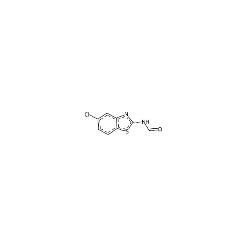 O=CNc1nc2cc(Cl)ccc2s1